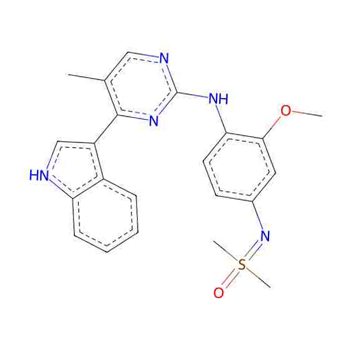 COc1cc(N=S(C)(C)=O)ccc1Nc1ncc(C)c(-c2c[nH]c3ccccc23)n1